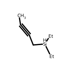 CC#CC[SiH](CC)CC